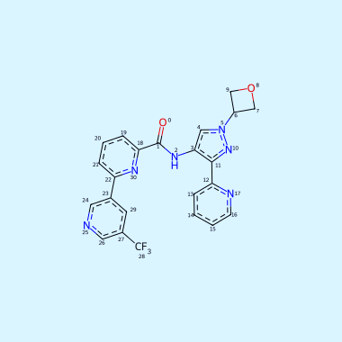 O=C(Nc1cn(C2COC2)nc1-c1ccccn1)c1cccc(-c2cncc(C(F)(F)F)c2)n1